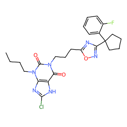 CCCCn1c(=O)n(CCCc2nc(C3(c4ccccc4F)CCCC3)no2)c(=O)c2[nH]c(Cl)nc21